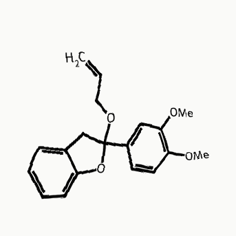 C=CCOC1(c2ccc(OC)c(OC)c2)Cc2ccccc2O1